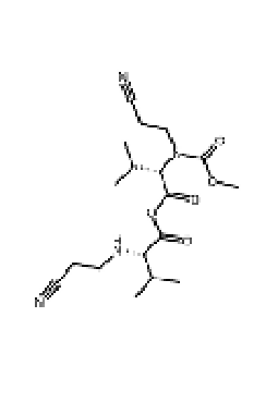 COC(=O)N(CCC#N)[C@H](C(=O)OC(=O)[C@@H](NCCC#N)C(C)C)C(C)C